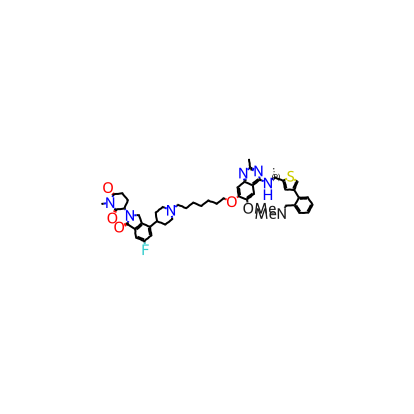 CNCc1ccccc1-c1csc([C@@H](C)Nc2nc(C)nc3cc(OCCCCCCCN4CCC(c5cc(F)cc6c5CN(C5CCC(=O)N(C)C5=O)C6=O)CC4)c(OC)cc23)c1